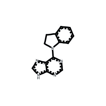 c1ccc2c(c1)CCN2c1ncnc2[nH]cnc12